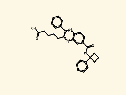 O=NC(=O)CCCCc1nc2cc(C(=O)NC3(c4ccccc4)CCC3)ccc2nc1-c1ccccc1